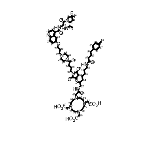 CC(=N)[C@H]1CC(F)(F)CN1C(=O)CNC(=O)c1ccnc2ccc(OCCCN3CCN(C(=O)CCCN4C(=O)CC(SC(CCCCCNC(=O)CCCc5ccc(I)cc5)CNC(=O)CN5CCN(CC(=O)O)CCN(CC(=O)O)CCN(CC(=O)O)CC5)C4=O)CC3)cc12